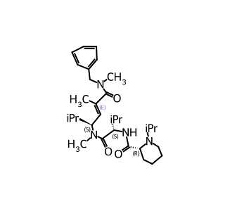 C/C(=C\[C@H](C(C)C)N(C)C(=O)[C@@H](NC(=O)[C@H]1CCCCN1C(C)C)C(C)C)C(=O)N(C)Cc1ccccc1